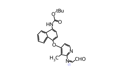 Cc1c(Oc2ccc(NC(=O)OC(C)(C)C)c3ccccc23)ccnc1/N=C\C=O